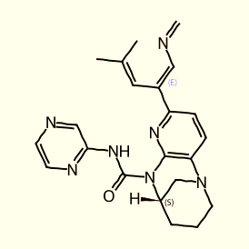 C=N/C=C(\C=C(C)C)c1ccc2c(n1)N(C(=O)Nc1cnccn1)[C@H]1CCCN2C1